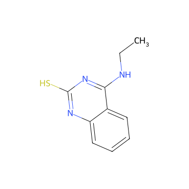 CCNc1nc(S)nc2ccccc12